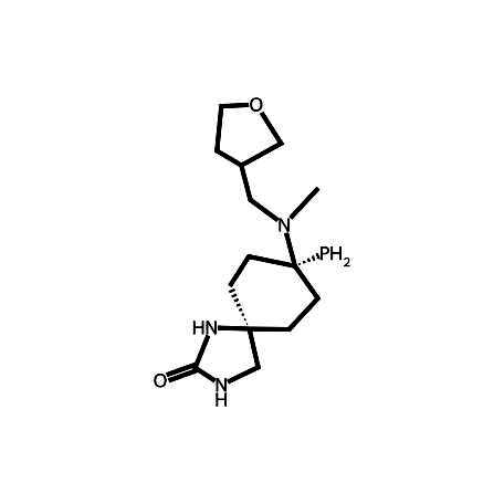 CN(CC1CCOC1)[C@]1(P)CC[C@]2(CC1)CNC(=O)N2